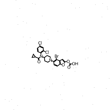 O=C(O)Oc1cc2c(Br)c(N3CCC(N(C(=O)C4CC4)c4ccc(Cl)cc4Cl)CC3)ccc2o1